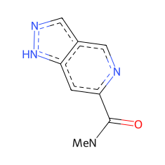 CNC(=O)c1cc2[nH]ncc2cn1